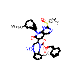 COc1cccc(-n2c(=O)c(C3CNc4cccc(C)c4N3C(=O)OCc3ccccc3)cc3cnc([S+](C)[O-])nc32)c1